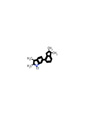 CCN1c2cc(-c3cccc4c3C[C@H](C)[C@@H]4C)ccc2[C@H](C)[C@@H]1C